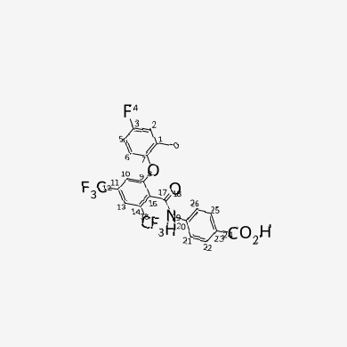 Cc1cc(F)ccc1Oc1cc(C(F)(F)F)cc(C(F)(F)F)c1C(=O)Nc1ccc(C(=O)O)cc1